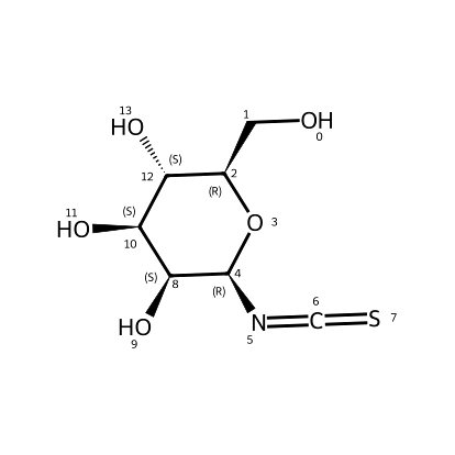 OC[C@H]1O[C@@H](N=C=S)[C@@H](O)[C@@H](O)[C@@H]1O